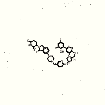 O=C1CCC(N2Cc3ccc(N4CCN(Cc5ccc(O[C@@H]6C[C@@H]7CNc8nnc(-c9cc(F)cc(F)c9O)cc8N7C6)nc5)CC4)cc3C2=O)C(=O)N1